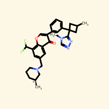 CC1CC(c2cccc(-c3coc4c(C(F)F)cc(CN5CCC[C@H](C)C5)cc4c3=O)c2)(c2nncn2C)C1